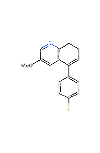 COc1cnc2c(c1)C(c1ccc(F)cc1)=CCC2